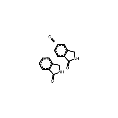 C=O.O=C1NCc2ccccc21.O=C1NCc2ccccc21